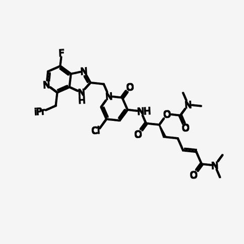 CC(C)Cc1ncc(F)c2nc(Cn3cc(Cl)cc(NC(=O)[C@H](CC/C=C/C(=O)N(C)C)OC(=O)N(C)C)c3=O)[nH]c12